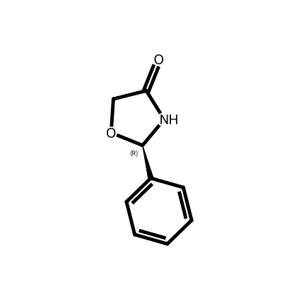 O=C1CO[C@H](c2ccccc2)N1